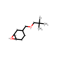 CCC(C)(C)COCC1CCC2OC2C1